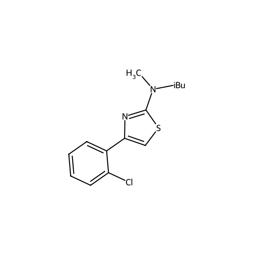 CCC(C)N(C)c1nc(-c2ccccc2Cl)cs1